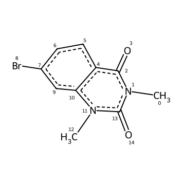 Cn1c(=O)c2ccc(Br)cc2n(C)c1=O